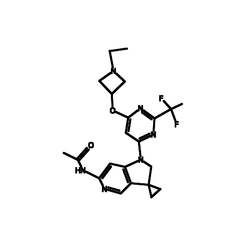 CCN1CC(Oc2cc(N3CC4(CC4)c4cnc(NC(C)=O)cc43)nc(C(C)(F)F)n2)C1